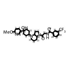 COc1ccc(C2(O)CCC(N3CCCC4C3CCN4C(=O)CNC(=O)c3cccc(C(F)(F)F)c3)CC2)cn1